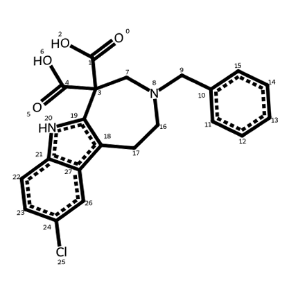 O=C(O)C1(C(=O)O)CN(Cc2ccccc2)CCc2c1[nH]c1ccc(Cl)cc21